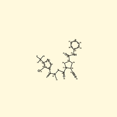 C=C(c1cnn(C(C)(C)C)c1Cl)N(C)CC(=O)N1CC(C(=O)Nc2ccccc2)CC1C#N